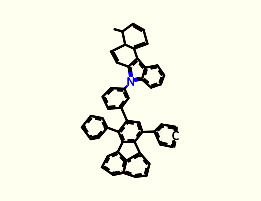 CC1C=CC=C2c3c(n(-c4cccc(-c5cc(-c6ccccc6)c6c(c5-c5ccccc5)-c5cccc7cccc-6c57)c4)c4ccccc34)C=CC21